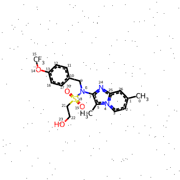 Cc1ccn2c(C)c(N(Cc3ccc(OC(F)(F)F)cc3)S(=O)(=O)CCO)nc2c1